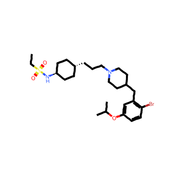 CCS(=O)(=O)N[C@H]1CC[C@H](CCCN2CCC(Cc3cc(OC(C)C)ccc3Br)CC2)CC1